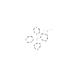 COc1ccc2c(c1OC)C1(c3ccccc3-c3ccccc31)c1ccccc1-2